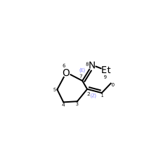 C/C=C1/CCCO/C1=N/CC